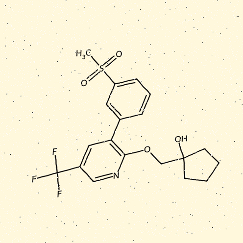 CS(=O)(=O)c1cccc(-c2cc(C(F)(F)F)cnc2OCC2(O)CCCC2)c1